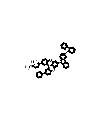 C=C/C=C\C(=C)c1ccc2c(c1)B1c3cc(-c4ccccc4)ccc3Oc3cc(-n4c5ccccc5c5cc(-n6c7ccccc7c7ccccc76)ccc54)cc(c31)O2